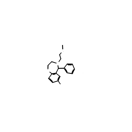 CNCCN1CCOc2ccc(Cl)cc2C1c1ccccc1.Cl.Cl